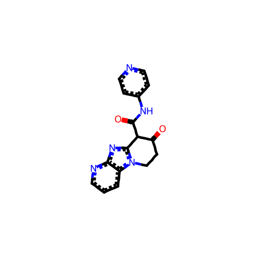 O=C1CCn2c(nc3ncccc32)C1C(=O)Nc1ccncc1